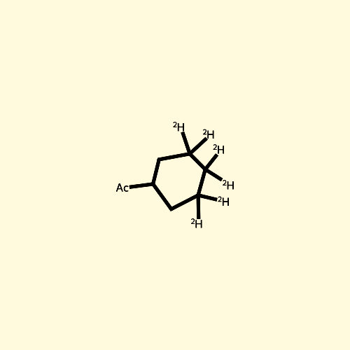 [2H]C1([2H])CC(C(C)=O)CC([2H])([2H])C1([2H])[2H]